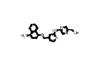 Nc1ccc(OCc2ccnc(Nc3cnc(CO)cn3)c2)c2ccccc12